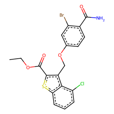 CCOC(=O)c1sc2cccc(Cl)c2c1COc1ccc(C(N)=O)c(Br)c1